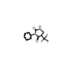 O=C1NCC(C(F)(F)F)C(=O)N1c1ccccc1